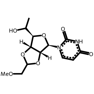 COCC1O[C@@H]2[C@H](O1)[C@@H](C(C)O)O[C@H]2n1ccc(=O)[nH]c1=O